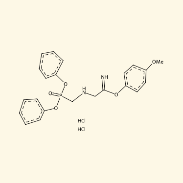 COc1ccc(OC(=N)CNCP(=O)(Oc2ccccc2)Oc2ccccc2)cc1.Cl.Cl